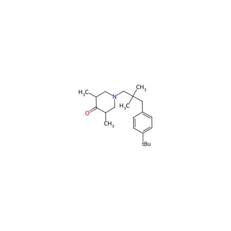 CC1CN(CC(C)(C)Cc2ccc(C(C)(C)C)cc2)CC(C)C1=O